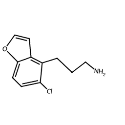 NCCCc1c(Cl)ccc2occc12